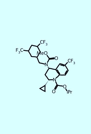 COC(=O)N(CC1CC(C(F)(F)F)CC(C(F)(F)F)C1)[C@H]1C[C@@H](C2CC2)N(C(=O)OC(C)C)c2ccc(C(F)(F)F)cc21